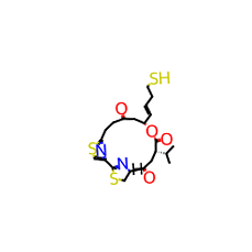 CC(C)[C@@H]1CC(=O)[C@@H]2CSC(=N2)c2csc(n2)CCC(=O)CC(/C=C/CCS)OC1=O